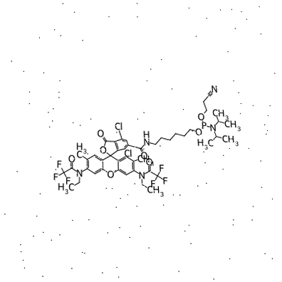 CCN(C(=O)C(F)(F)F)c1cc2c(cc1C)C1(OC(=O)c3c(Cl)cc(C(=O)NCCCCCCOP(OCCC#N)N(C(C)C)C(C)C)c(Cl)c31)c1cc(C)c(N(CC)C(=O)C(F)(F)F)cc1O2